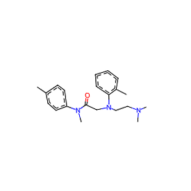 Cc1ccc(N(C)C(=O)CN(CCN(C)C)c2ccccc2C)cc1